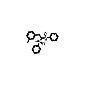 Cc1cccc(C[C](S(=O)(=O)c2ccccc2)S(=O)(=O)c2ccccc2)c1